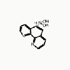 Cl.NO.c1cnc2c(c1)ccc1cccnc12